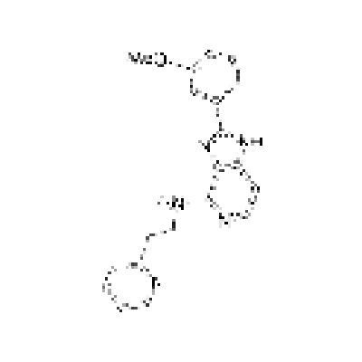 COc1cccc(-c2nc3c(NCCc4ccccn4)nccc3[nH]2)c1